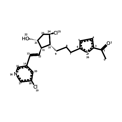 CC(=O)c1ccc(CCC[C@@H]2[C@@H](/C=C/c3cncc(Cl)c3)[C@H](O)C[C@H]2Cl)s1